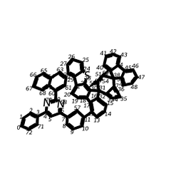 c1ccc(-c2cc(-c3cccc(-c4cccc5c4-c4ccc6c(sc7ccccc76)c4C54c5ccccc5C5(c6ccccc6-c6ccccc65)c5ccccc54)c3)nc(-c3cccc4ccccc34)n2)cc1